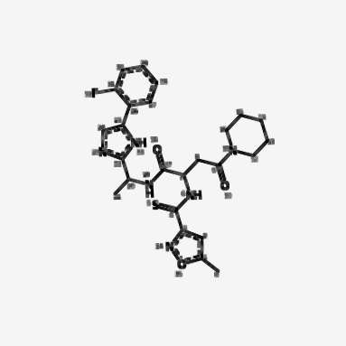 Cc1cc(C(=S)NC(CC(=O)N2CCCCC2)C(=O)NC(C)c2ncc(-c3ccccc3F)[nH]2)no1